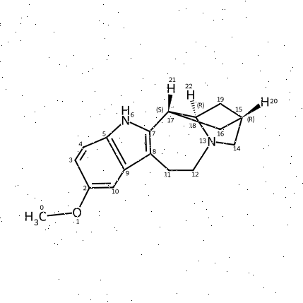 COc1ccc2[nH]c3c(c2c1)CCN1C[C@@H]2C[C@H]3[C@H]1C2